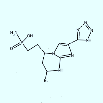 CCC1CC(CCP(N)(=O)O)n2cc(-c3nnn[nH]3)nc2N1